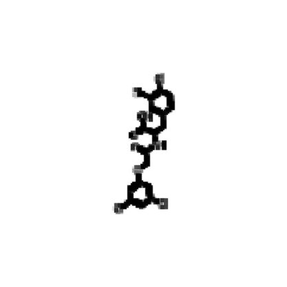 O=C(COc1cc(Cl)cc(Cl)c1)NC(Cc1ccc(Cl)c(Cl)c1)C(=O)O